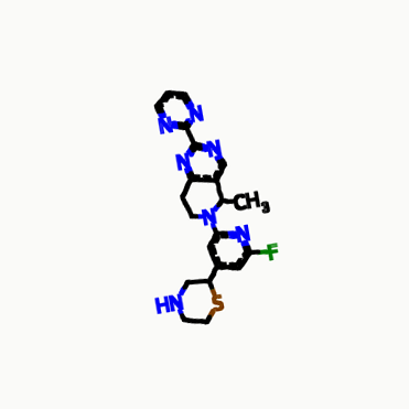 CC1c2cnc(-c3ncccn3)nc2CCN1c1cc(C2CNCCS2)cc(F)n1